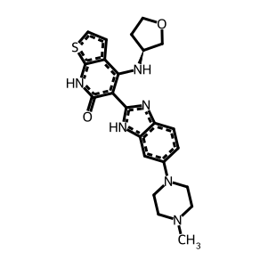 CN1CCN(c2ccc3nc(-c4c(N[C@H]5CCOC5)c5ccsc5[nH]c4=O)[nH]c3c2)CC1